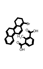 BrC1=c2ccc3c(c2CCC1)CC=c1ccccc1=3.Cc1c(C(=O)O)cccc1C(=O)O